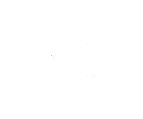 COC(=O)Cc1cc([N+](=O)[O-])ccc1OC